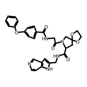 O=C(NCC(=O)N1CC2(CC1C(=O)NCc1cc3cnccc3[nH]1)OCCO2)c1ccc(Oc2ccccc2)cc1